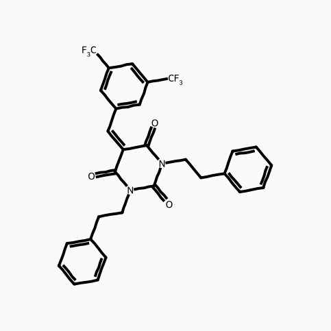 O=C1C(=Cc2cc(C(F)(F)F)cc(C(F)(F)F)c2)C(=O)N(CCc2ccccc2)C(=O)N1CCc1ccccc1